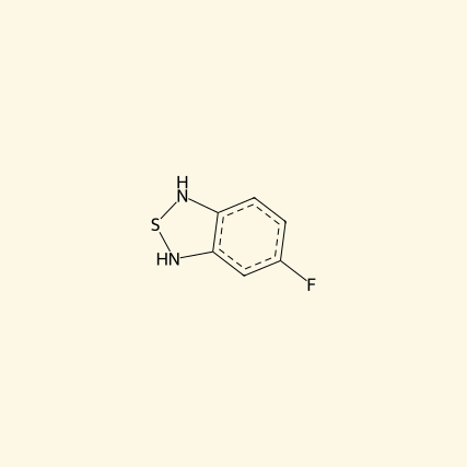 Fc1ccc2c(c1)NSN2